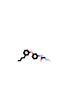 CCCCc1cccc(Oc2cccc(NC(=O)CN)c2)c1